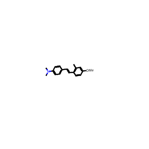 COc1ccc(C=Cc2ccc(N(C)C)cc2)c(C)c1